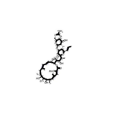 C/C=C/[C@H]1O[C@@](O)([C@@H](C)[C@H](O)[C@H](C)[C@H]2OC(=O)/C(OC)=C/C(C)=C/[C@@H](C)[C@@H](O)[C@@H](CC)[C@@H](O)[C@H](C)C/C(C)=C/C=C/[C@@H]2OC)C[C@@H](O[C@@H]2C[C@H](O)[C@@H](OC(N)=O)[C@H](C)O2)[C@@H]1C